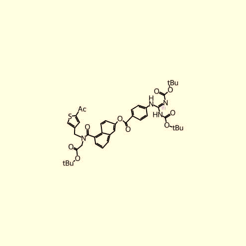 CC(=O)c1cc(CN(CC(=O)OC(C)(C)C)C(=O)c2cccc3cc(OC(=O)c4ccc(N/C(=N\C(=O)OC(C)(C)C)NC(=O)OC(C)(C)C)cc4)ccc23)cs1